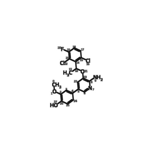 COc1cc(-c2cnc(N)c(OC(C)c3c(Cl)ccc(F)c3Cl)c2)ccc1O